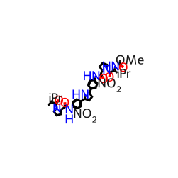 COC(=O)NC(C(=O)N1CCCC1C(=O)Nc1ccc(C2CCC(c3ccc(NC(=O)C4CCCN4C(=O)C(C)C(C)C)c([N+](=O)[O-])c3)N2)cc1[N+](=O)[O-])C(C)C